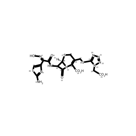 Nc1nc(/C(=N\O)C(=O)NC2C(=O)N3C(C(=O)O)=C(CSc4nnnn4CC(=O)O)CS[C@H]23)cs1